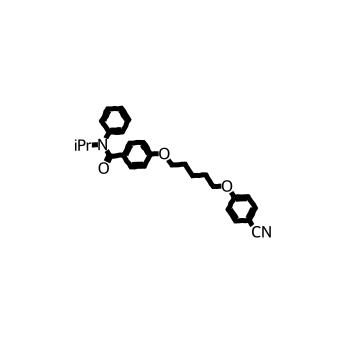 CC(C)N(C(=O)c1ccc(OCCCCCOc2ccc(C#N)cc2)cc1)c1ccccc1